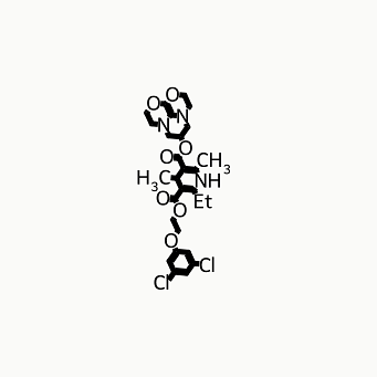 CCC1=C(C(=O)OCCOc2cc(Cl)cc(Cl)c2)C(C)C(C(=O)OC2CN3CCOC4=C3N(CCO4)C2)=C(C)N1